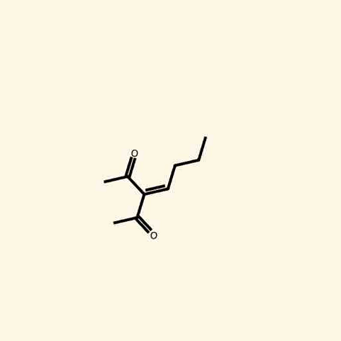 CCCC=C(C(C)=O)C(C)=O